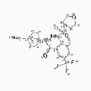 N#CC12CCC(NC(=O)c3cc(C(F)(F)F)ccc3NS(=O)(=O)N3CCOCC3)(CC1)CC2